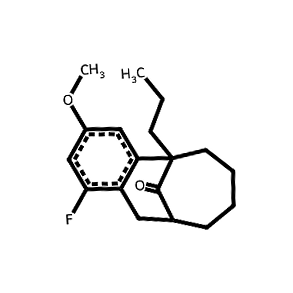 CCCC12CCCCC(Cc3c(F)cc(OC)cc31)C2=O